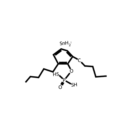 CCCCCc1cccc(CCCCC)c1OP(=O)(S)S.[SnH2]